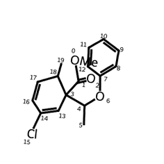 COC(=O)C1(C(C)Oc2ccccc2)C=C(Cl)C=CC1C